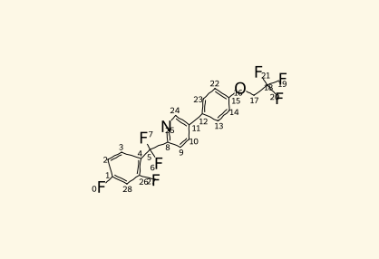 Fc1ccc(C(F)(F)c2ccc(-c3ccc(OCC(F)(F)F)cc3)cn2)c(F)c1